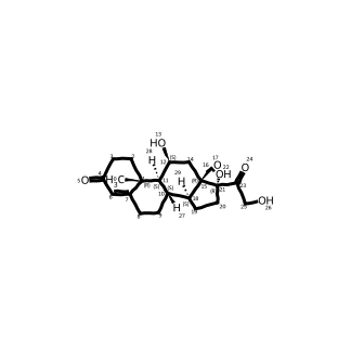 C[C@]12CCC(=O)C=C1CC[C@@H]1[C@@H]2[C@@H](O)C[C@@]2(C=O)[C@H]1CC[C@]2(O)C(=O)CO